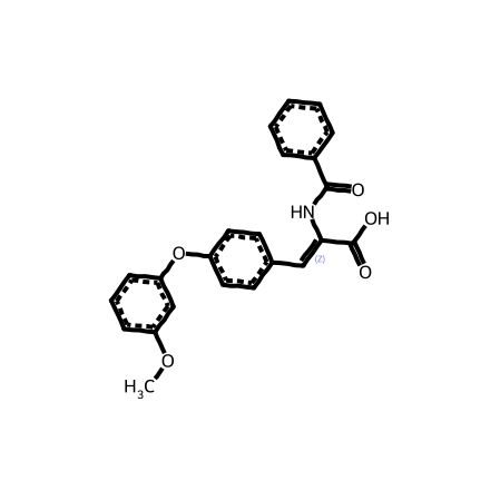 COc1cccc(Oc2ccc(/C=C(\NC(=O)c3ccccc3)C(=O)O)cc2)c1